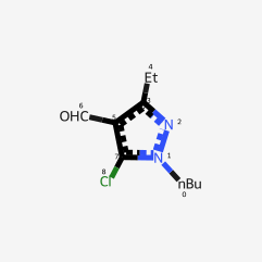 CCCCn1nc(CC)c(C=O)c1Cl